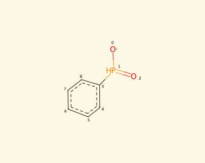 [O][PH](=O)c1ccccc1